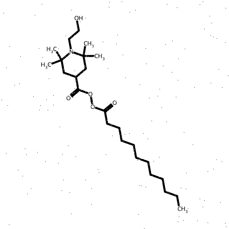 CCCCCCCCCCCC(=O)OOC(=O)C1CC(C)(C)N(CCO)C(C)(C)C1